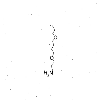 [CH2]CCOCCCCOCCCN